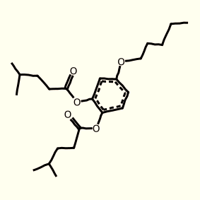 CCCCCOc1ccc(OC(=O)CCC(C)C)c(OC(=O)CCC(C)C)c1